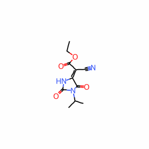 CCOC(=O)C(C#N)=C1NC(=O)N(C(C)C)C1=O